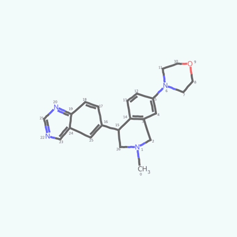 CN1Cc2cc(N3CCOCC3)ccc2C(c2ccc3ncncc3c2)C1